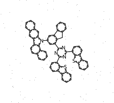 c1ccc2c(c1)Cc1c(-c3nc(-c4cccc5c4sc4ccccc45)nc(-c4cccc5c4sc4ccccc45)n3)cc(-n3c4cc5ccccc5cc4c4ccc5ccccc5c43)cc1-2